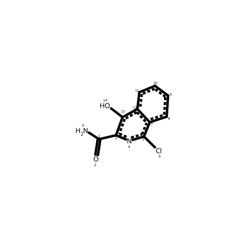 NC(=O)c1nc(Cl)c2ccccc2c1O